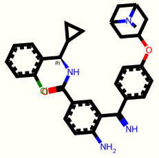 CN1C2CC(Oc3ccc(C(=N)c4cc(C(=O)N[C@@H](c5ccccc5Cl)C5CC5)ccc4N)cc3)CC1C2